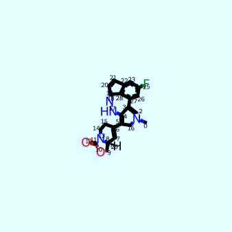 CN1C=C2C(=C(C3=C[C@@H]4COC(=O)N4CC3)C1)NN=C1C=Cc3cc(F)cc2c31